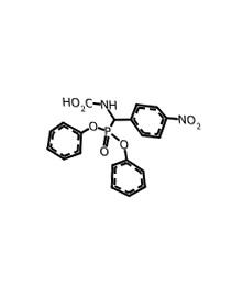 O=C(O)NC(c1ccc([N+](=O)[O-])cc1)P(=O)(Oc1ccccc1)Oc1ccccc1